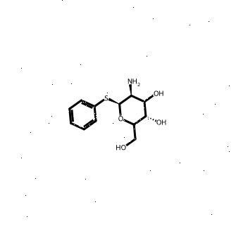 N[C@H]1C(O)[C@H](O)C(CO)O[C@H]1Sc1ccccc1